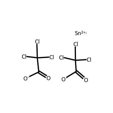 O=C([O-])C(Cl)(Cl)Cl.O=C([O-])C(Cl)(Cl)Cl.[Sn+2]